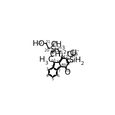 CC1=c2ccccc2=C2C(=O)C3=C([SiH2]3)[C]([Ti+2][CH2][Si](C)(C)CCO)=C12.[Cl-].[Cl-]